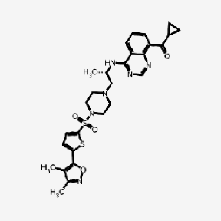 Cc1noc(-c2ccc(S(=O)(=O)N3CCN(C[C@H](C)Nc4ncnc5c(C(=O)C6CC6)cccc45)CC3)s2)c1C